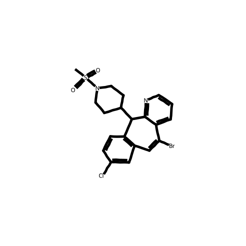 CS(=O)(=O)N1CCC(C2c3ccc(Cl)cc3C=C(Br)c3cccnc32)CC1